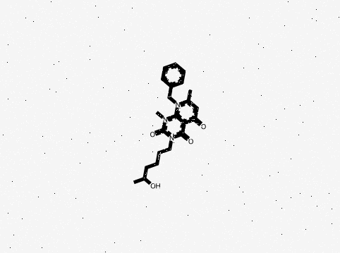 Cc1cc(=O)c2c(=O)n(CCCCC(C)O)c(=O)n(C)c2n1Cc1ccccc1